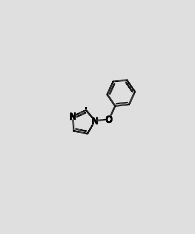 [c]1nccn1Oc1ccccc1